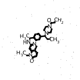 C=CC(=O)N1CCN(C(CC)c2ccc(C(C)Nc3cc4c(ccc(=O)n4CC)cn3)cc2)CC1